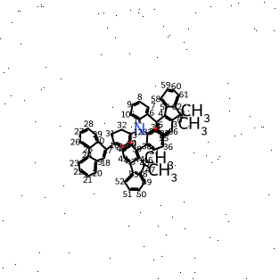 CC1(C)C2=C(C(c3ccccc3N(C3=CC=C(c4cc5ccccc5c5ccccc45)CC3)c3ccccc3-c3cccc4c3C(C)(C)c3ccccc3-4)=C=C=C2)c2ccccc21